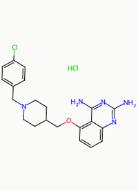 Cl.Nc1nc(N)c2c(OCC3CCN(Cc4ccc(Cl)cc4)CC3)cccc2n1